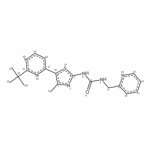 Cc1nc(NC(=O)NCc2ccccn2)sc1-c1ccnc(C(C)(C)C)n1